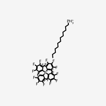 CCCCCCCCCCCCC[PH3+].Fc1c(F)c(F)c([B-](c2c(F)c(F)c(F)c(F)c2F)(c2c(F)c(F)c(F)c(F)c2F)c2c(F)c(F)c(F)c(F)c2F)c(F)c1F